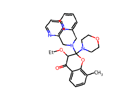 CCOC1C(=O)c2cccc(C)c2OC1(N1CCOCC1)N(Cc1ccccn1)Cc1ccccn1